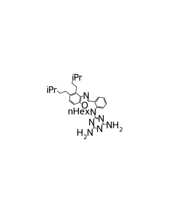 CCCCCCN(c1nc(N)nc(N)n1)c1ccccc1-c1nc2c(CCC(C)C)c(CCC(C)C)ccc2o1